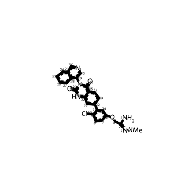 CN/N=C(\N)COc1ccc(Cl)c(-c2ccc3c(=O)n(-c4cncc5ccccc45)c(=O)[nH]c3c2)c1